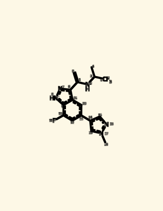 C=C(NC(C)C(F)(F)F)c1n[nH]c2c(F)cc(-c3cnn(C)c3)cc12